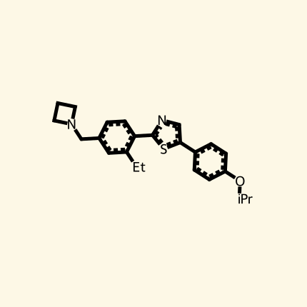 CCc1cc(CN2CCC2)ccc1-c1ncc(-c2ccc(OC(C)C)cc2)s1